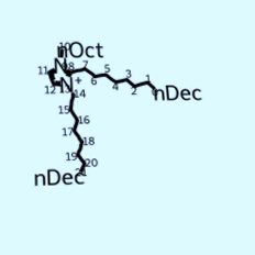 CCCCCCCCCCCCCCCCCc1n(CCCCCCCC)cc[n+]1CCCCCCCCCCCCCCCCC